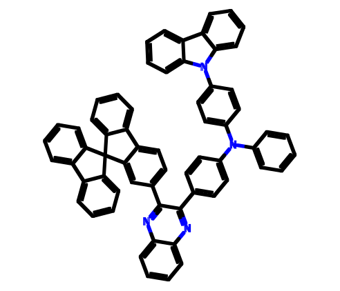 c1ccc(N(c2ccc(-c3nc4ccccc4nc3-c3ccc4c(c3)C3(c5ccccc5-c5ccccc53)c3ccccc3-4)cc2)c2ccc(-n3c4ccccc4c4ccccc43)cc2)cc1